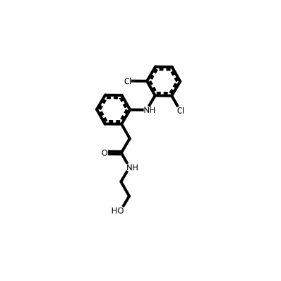 O=C(Cc1ccccc1Nc1c(Cl)cccc1Cl)NCCO